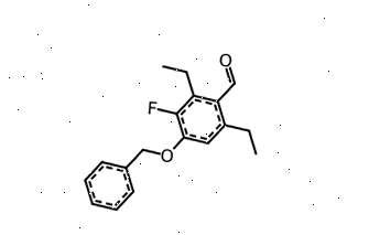 CCc1cc(OCc2ccccc2)c(F)c(CC)c1C=O